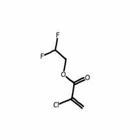 C=C(Cl)C(=O)OCC(F)F